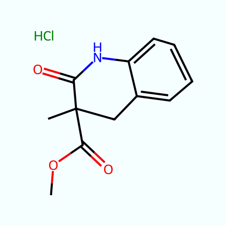 COC(=O)C1(C)Cc2ccccc2NC1=O.Cl